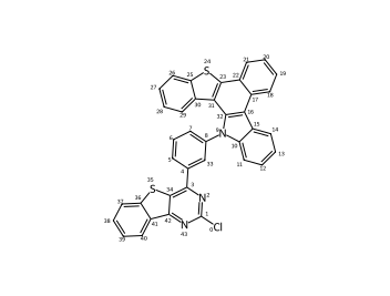 Clc1nc(-c2cccc(-n3c4ccccc4c4c5ccccc5c5sc6ccccc6c5c43)c2)c2sc3ccccc3c2n1